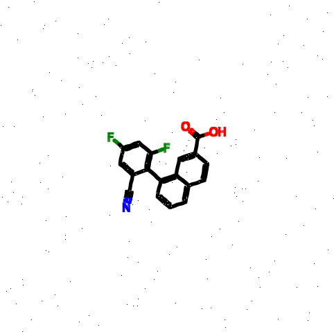 N#Cc1cc(F)cc(F)c1-c1cccc2ccc(C(=O)O)cc12